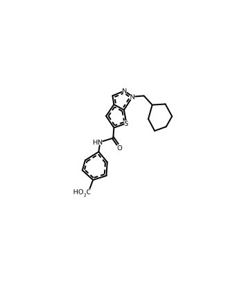 O=C(O)c1ccc(NC(=O)c2cc3cnn(CC4CCCCC4)c3s2)cc1